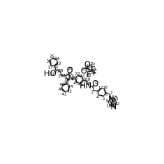 O=C(Cc1ccc(C[N+]23CCN(CC2)CC3)cc1)NCc1ccc(N2C(=O)C(CCC(O)c3ccccc3)C2c2ccccc2)cc1.O=C([O-])C(F)(F)F